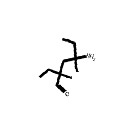 CCC(C)(N)CC(C)(C=O)CC